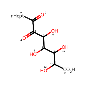 CCCCCCCC(=O)C(=O)C(O)C(O)C(O)C(O)C(=O)O